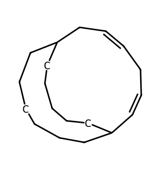 C1=CCC2CCCCCCC(C=CC1)CCCCC2